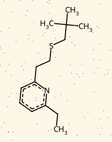 CCc1cccc(CCSCC(C)(C)C)n1